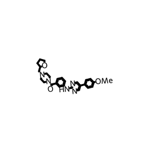 COc1ccc(-c2cnc(Nc3cccc(C(=O)N4CCN(CC5CCCO5)CC4)c3)nc2)cc1